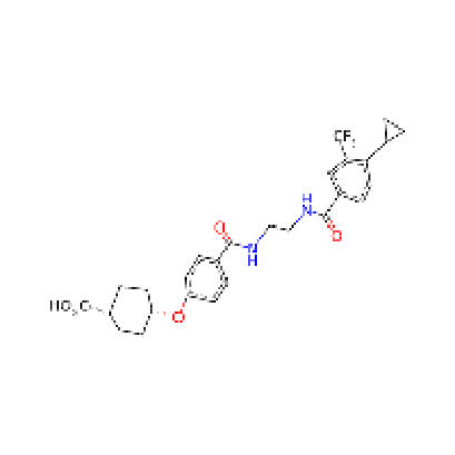 O=C(NCCNC(=O)c1ccc(C2CC2)c(C(F)(F)F)c1)c1ccc(O[C@H]2CC[C@@H](C(=O)O)CC2)cc1